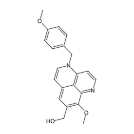 COc1ccc(CN2C=Cc3cc(CO)c(OC)c4nccc2c34)cc1